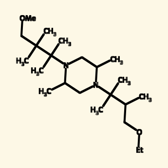 CCOCC(C)C(C)(C)N1CC(C)N(C(C)(C)C(C)(C)COC)CC1C